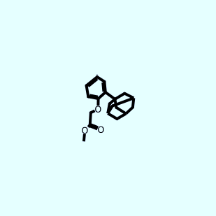 COC(=O)COc1cc[c]cc1C12CC3CC(CC(C3)C1)C2